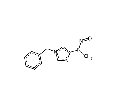 CN(N=O)c1cn(Cc2ccccc2)cn1